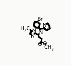 COC(=O)CCC1N=C(c2ccccn2)c2cc(Br)ccc2-n2c(C)cnc21